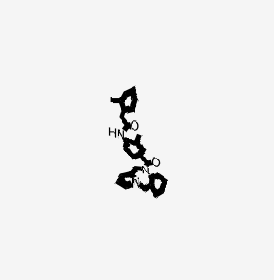 Cc1ccccc1CC(=O)Nc1ccc(C(=O)N2Cc3cccn3Cc3ccccc32)cc1C